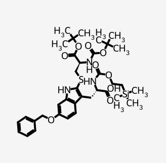 CC(C)(C)OC(=O)N[C@@H](CSc1[nH]c2cc(OCc3ccccc3)ccc2c1C[C@H](NC(=O)OCC[Si](C)(C)C)C(=O)O)C(=O)OC(C)(C)C